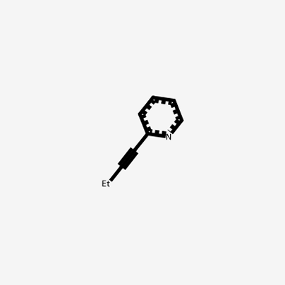 CCC#Cc1ccccn1